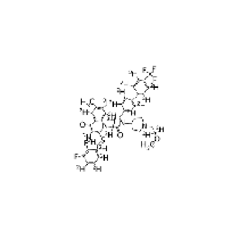 [2H]c1c([2H])c(F)c(F)c(C([2H])([2H])Sc2c([2H])c(=O)c3c([2H])c(C)c([2H])c([2H])c3n2C([2H])([2H])C(=O)N(Cc2c([2H])c([2H])c(-c3c([2H])c([2H])c(C(F)(F)F)c([2H])c3[2H])c([2H])c2[2H])C2CCN(CC([2H])([2H])OC)CC2)c1[2H]